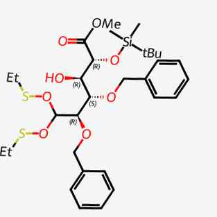 CCSOC(OSCC)[C@H](OCc1ccccc1)[C@@H](OCc1ccccc1)[C@@H](O)[C@@H](O[Si](C)(C)C(C)(C)C)C(=O)OC